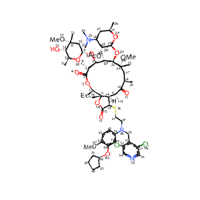 CC[C@H]1OC(=O)[C@H](C)[C@@H](O[C@H]2C[C@@](C)(OC)[C@@H](O)[C@H](C)O2)[C@H](C)[C@@H](O[C@@H]2O[C@H](C)C[C@H](N(C)C)[C@H]2OC(C)=O)[C@](C)(OC)C[C@@H](C)C(=O)[C@H](C)[C@H]2C(SCCN(Cc3c(Cl)cncc3Cl)c3ccc(OC)c(OC4CCCC4)c3)C(=O)O[C@@]21C